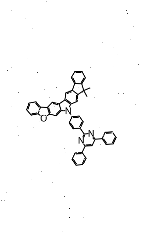 CC1(C)c2ccccc2-c2cc3c4cc5c(cc4n(-c4ccc(-c6nc(-c7ccccc7)cc(-c7ccccc7)n6)cc4)c3cc21)oc1ccccc15